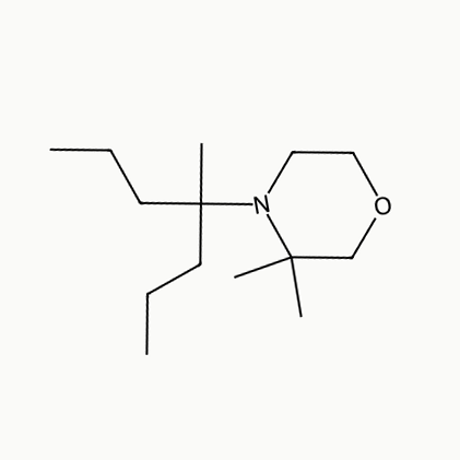 CCCC(C)(CCC)N1CCOCC1(C)C